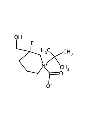 CC(C)(C)[N+]1(C(=O)[O-])CCC[C@@](F)(CO)C1